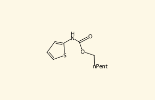 CCCCCCOC(=O)Nc1cccs1